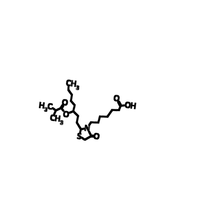 CCCCCC(CCC1SCC(=O)N1CCCCCCC(=O)O)OC(=O)C(C)C